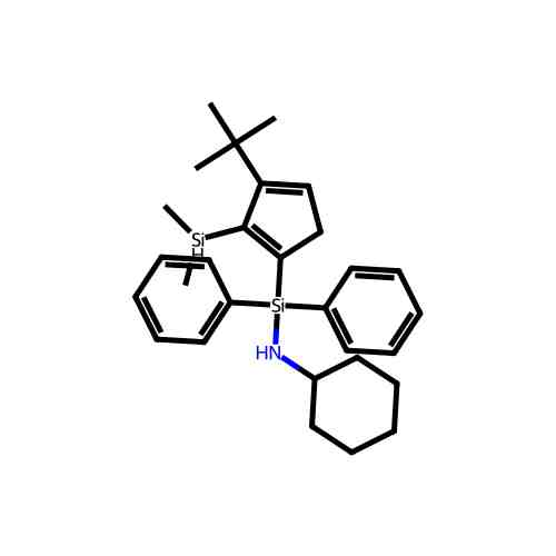 C[SiH](C)C1=C([Si](NC2CCCCC2)(c2ccccc2)c2ccccc2)CC=C1C(C)(C)C